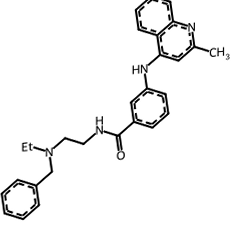 CCN(CCNC(=O)c1cccc(Nc2cc(C)nc3ccccc23)c1)Cc1ccccc1